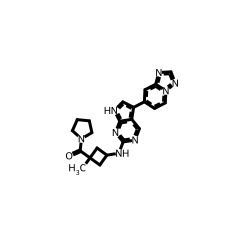 CC1(C(=O)N2CCCC2)CC(Nc2ncc3c(-c4ccn5ncnc5c4)c[nH]c3n2)C1